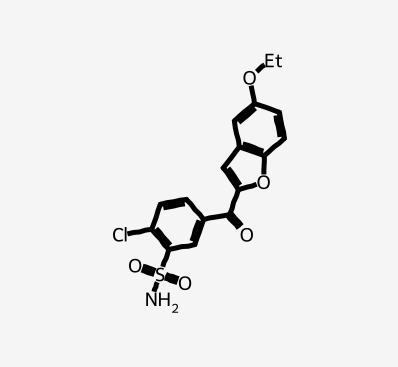 CCOc1ccc2oc(C(=O)c3ccc(Cl)c(S(N)(=O)=O)c3)cc2c1